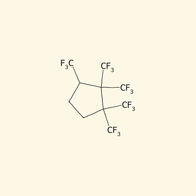 FC(F)(F)C1CCC(C(F)(F)F)(C(F)(F)F)C1(C(F)(F)F)C(F)(F)F